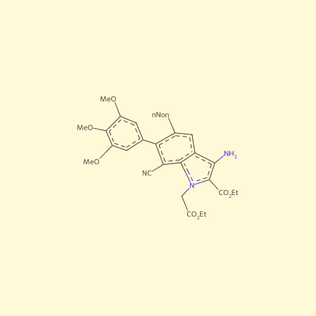 CCCCCCCCCc1cc2c(N)c(C(=O)OCC)n(CC(=O)OCC)c2c(C#N)c1-c1cc(OC)c(OC)c(OC)c1